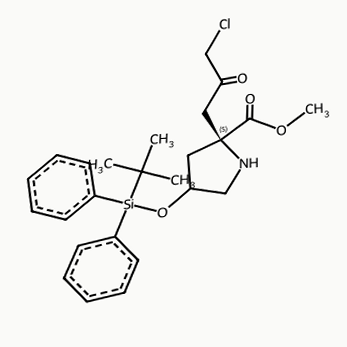 COC(=O)[C@@]1(CC(=O)CCl)CC(O[Si](c2ccccc2)(c2ccccc2)C(C)(C)C)CN1